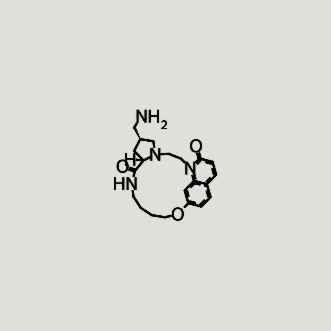 NC[C@@H]1C[C@H]2C(=O)NCCCCOc3ccc4ccc(=O)n(c4c3)CCN2C1